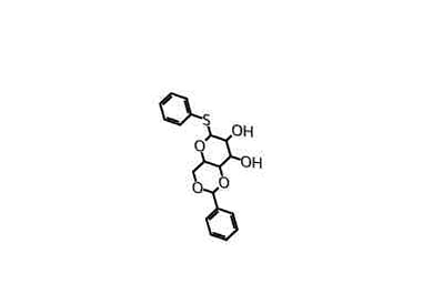 OC1C(Sc2ccccc2)OC2COC(c3ccccc3)OC2C1O